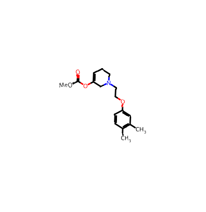 COC(=O)OC1=CCCN(CCOc2ccc(C)c(C)c2)C1